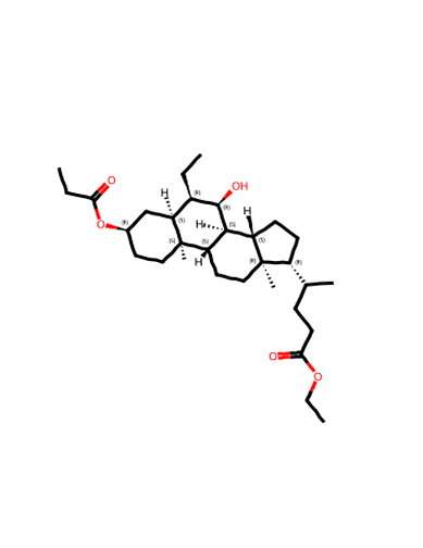 CCOC(=O)CCC(C)[C@H]1CC[C@H]2[C@@H]3[C@H](O)[C@H](CC)[C@@H]4C[C@H](OC(=O)CC)CC[C@]4(C)[C@H]3CC[C@]12C